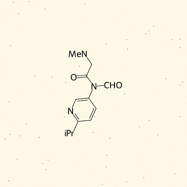 CNCC(=O)N(C=O)c1ccc(C(C)C)nc1